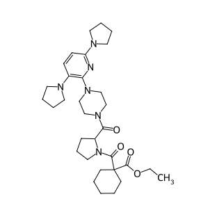 CCOC(=O)C1(C(=O)N2CCCC2C(=O)N2CCN(c3nc(N4CCCC4)ccc3N3CCCC3)CC2)CCCCC1